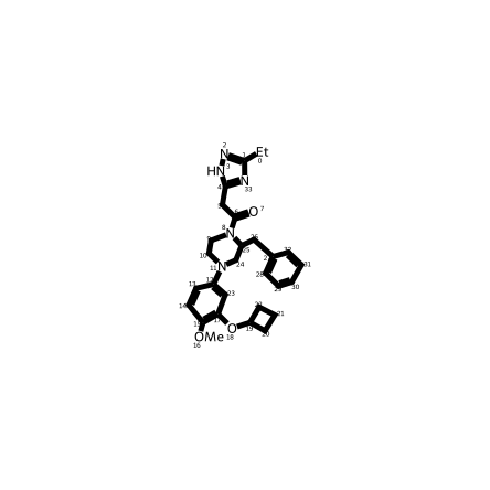 CCc1n[nH]c(CC(=O)N2CCN(c3ccc(OC)c(OC4CCC4)c3)CC2Cc2ccccc2)n1